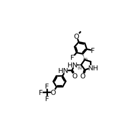 COc1cc(F)c([C@@H]2CNC(=O)[C@H]2NC(=O)Nc2ccc(OC(F)(F)F)cc2)c(F)c1